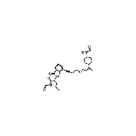 CCCC(C(=O)NC=O)N1Cc2c(C#CCCOCCN(C)[C@H]3CC[C@@H](NC=O)CC3)cccc2C1=O